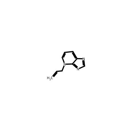 C=CCn1cccc2ncnc1-2